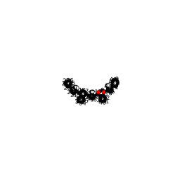 c1ccc(-c2ccc(-c3ccc(-c4ccc(-c5ccc(-c6ccc(-c7ccccc7)s6)c6ccccc56)s4)c4ccccc34)s2)cc1